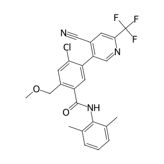 COCc1cc(Cl)c(-c2cnc(C(F)(F)F)cc2C#N)cc1C(=O)Nc1c(C)cccc1C